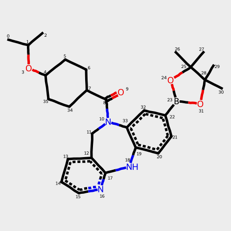 CC(C)OC1CCC(C(=O)N2Cc3cccnc3Nc3ccc(B4OC(C)(C)C(C)(C)O4)cc32)CC1